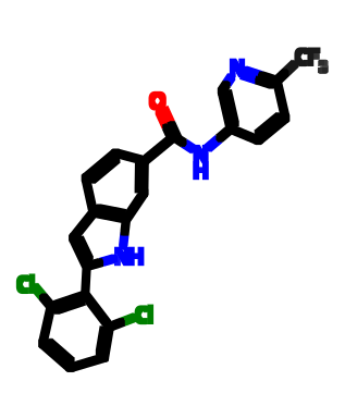 O=C(Nc1ccc(C(F)(F)F)nc1)c1ccc2cc(-c3c(Cl)cccc3Cl)[nH]c2c1